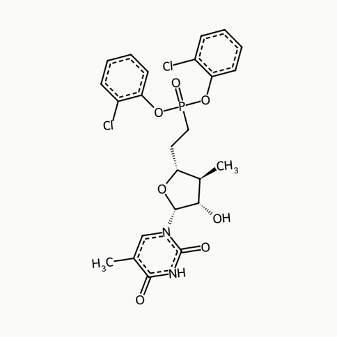 Cc1cn([C@@H]2O[C@H](CCP(=O)(Oc3ccccc3Cl)Oc3ccccc3Cl)[C@@H](C)[C@@H]2O)c(=O)[nH]c1=O